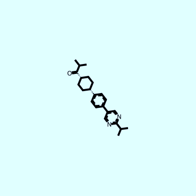 CC(C)c1ncc(-c2ccc([C@H]3CC[C@@H](C(=O)C(C)C)CC3)cc2)cn1